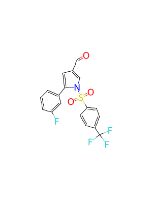 O=Cc1cc(-c2cccc(F)c2)n(S(=O)(=O)c2ccc(C(F)(F)F)cc2)c1